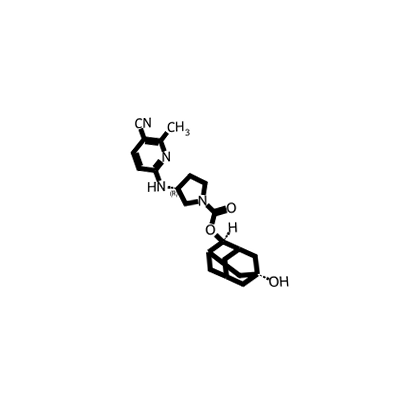 Cc1nc(N[C@@H]2CCN(C(=O)O[C@H]3C4CC5CC3C[C@](O)(C5)C4)C2)ccc1C#N